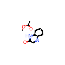 COC(C)=O.O=c1cnc2ccccc2[nH]1